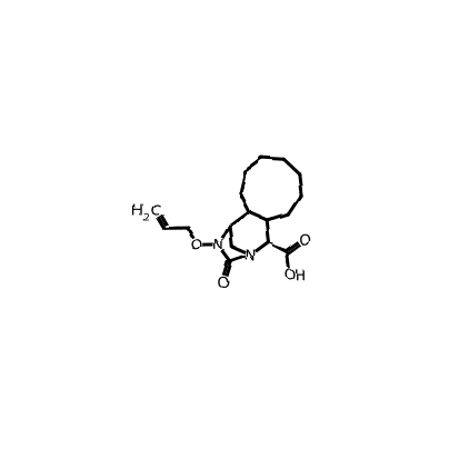 C=CCON1C(=O)N2CC1C1CCCCCCCC1[C@H]2C(=O)O